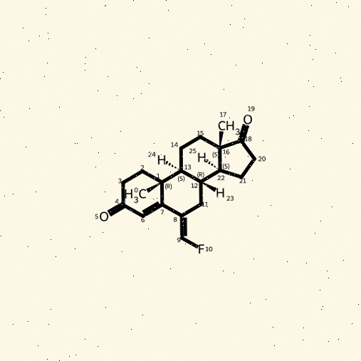 C[C@]12CCC(=O)C=C1C(=CF)C[C@@H]1[C@@H]2CC[C@]2(C)C(=O)CC[C@@H]12